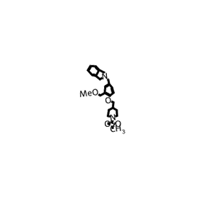 COCc1cc(CN2Cc3ccccc3C2)ccc1OCC1CCN(S(C)(=O)=O)CC1